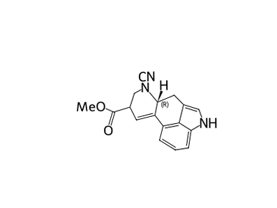 COC(=O)C1C=C2c3cccc4[nH]cc(c34)C[C@H]2N(C#N)C1